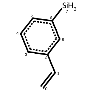 C=Cc1cccc([SiH3])c1